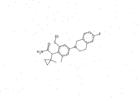 CCSc1cc(N2CCc3cc(F)ccc3C2)cc(C)c1C(C(N)=O)C1(C)CC1